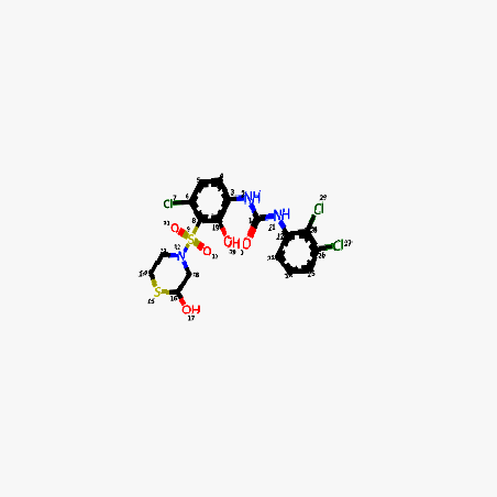 O=C(Nc1ccc(Cl)c(S(=O)(=O)N2CCSC(O)C2)c1O)Nc1cccc(Cl)c1Cl